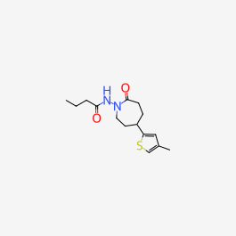 CCCC(=O)NN1CCC(c2cc(C)cs2)CCC1=O